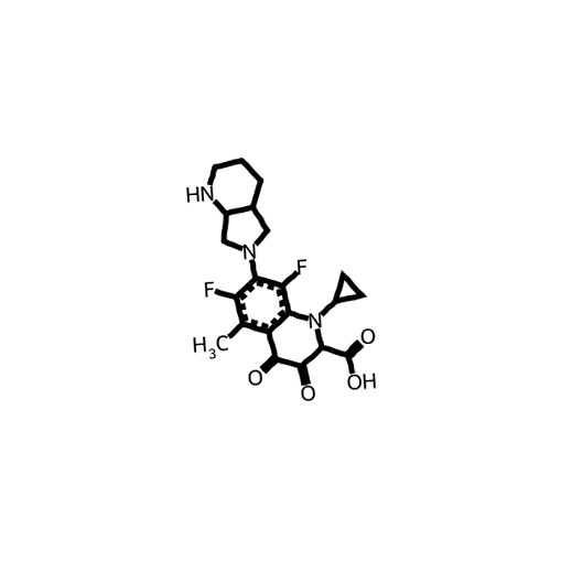 Cc1c(F)c(N2CC3CCCNC3C2)c(F)c2c1C(=O)C(=O)C(C(=O)O)N2C1CC1